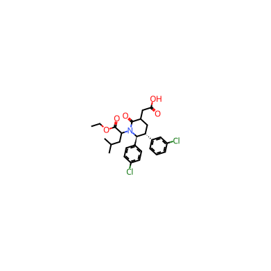 CCOC(=O)C(CC(C)C)N1C(=O)C(CC(=O)O)C[C@H](c2cccc(Cl)c2)[C@H]1c1ccc(Cl)cc1